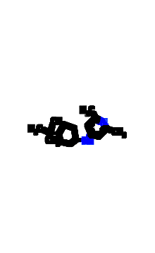 Cc1cc(N[C@H]2CC[C@@H](C(C)(C)C)CC2)cc(C)n1